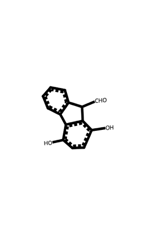 O=CC1c2ccccc2-c2c(O)ccc(O)c21